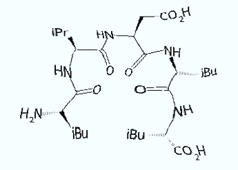 CC[C@H](C)[C@H](N)C(=O)N[C@H](C(=O)N[C@@H](CC(=O)O)C(=O)N[C@H](C(=O)N[C@H](C(=O)O)[C@@H](C)CC)[C@@H](C)CC)C(C)C